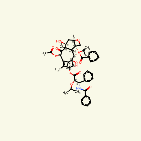 C=C(C)O[C@@]12CO[C@@H]1C[C@H](O)[C@@]1(C)C(=O)[C@H](OC(C)=O)C3=C(C)[C@@H](OC(=O)[C@H](OC(C)C)[C@@H](NC(=O)c4ccccc4)c4ccccc4)C[C@@](O)([C@@H](OC(=O)c4ccccc4)[C@H]21)C3(C)C